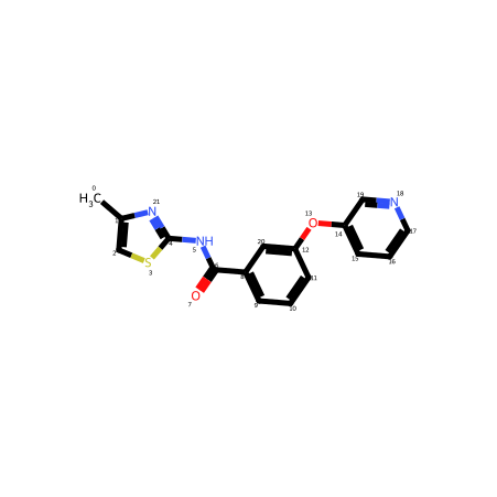 Cc1csc(NC(=O)c2cccc(Oc3cccnc3)c2)n1